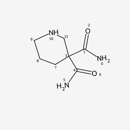 NC(=O)C1(C(N)=O)CCCNC1